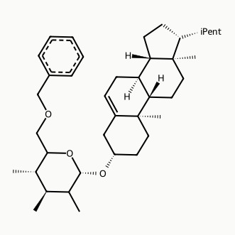 CCC[C@@H](C)[C@H]1CC[C@H]2[C@@H]3CC=C4C[C@@H](O[C@H]5OC(COCc6ccccc6)[C@@H](C)[C@H](C)C5C)CC[C@]4(C)[C@H]3CC[C@]12C